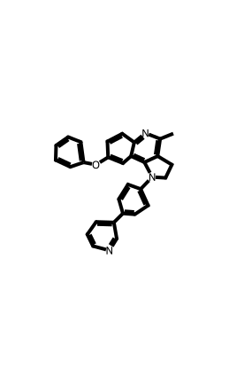 Cc1nc2ccc(Oc3ccccc3)cc2c2c1CCN2c1ccc(-c2cccnc2)cc1